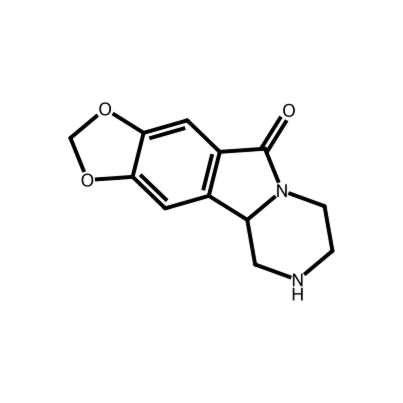 O=C1c2cc3c(cc2C2CNCCN12)OCO3